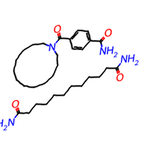 NC(=O)CCCCCCCCCCC(N)=O.NC(=O)c1ccc(C(=O)N2CCCCCCCCCCCC2)cc1